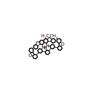 CC1(C)c2ccccc2-c2c(N3B4c5c(cccc5-c5cc(-c6cccc7oc8ccccc8c67)ccc53)-c3cc(-c5cccc6oc7ccccc7c56)ccc3N4c3cccc4c3-c3ccccc3C4)cccc21